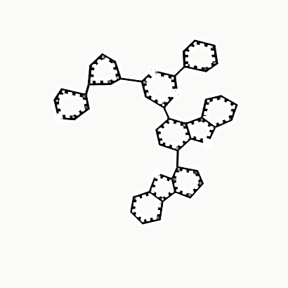 c1ccc(-c2nc(-c3cccc(-c4ccncc4)c3)cc(-c3ccc(-c4cccc5c4sc4ccccc45)c4oc5ccccc5c34)n2)cc1